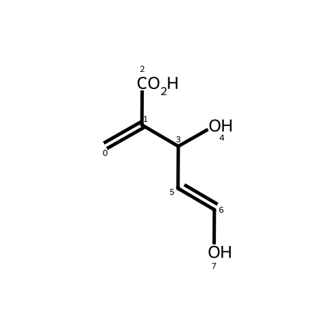 C=C(C(=O)O)C(O)C=CO